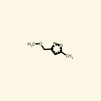 COCc1cc(C)on1